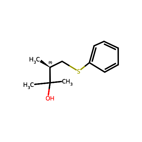 C[C@@H](CSc1ccccc1)C(C)(C)O